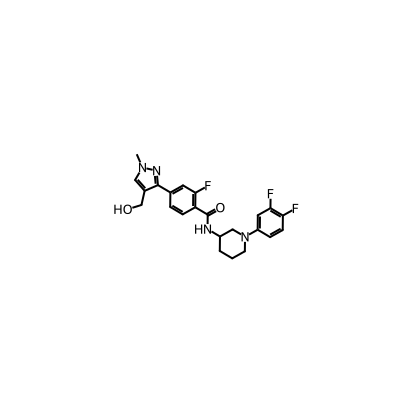 Cn1cc(CO)c(-c2ccc(C(=O)NC3CCCN(c4ccc(F)c(F)c4)C3)c(F)c2)n1